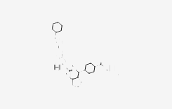 NC(=O)c1ccc(-c2nc(NCC(O)CCOCc3ccccc3)nc3c2CCC3)cc1